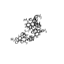 Cc1cc(OCCCc2c3n(c4c(-c5c(C)nn(C)c5C)cccc24)C(C)[C@@H](Cl)N(c2cn(C)c4ccc(-c5ncn(CC6COC6)n5)cc24)C3=O)cc(C)c1Cl